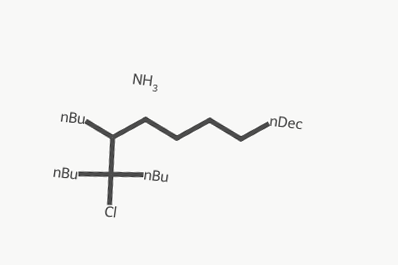 CCCCCCCCCCCCCCC(CCCC)C(Cl)(CCCC)CCCC.N